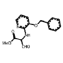 COC(=O)C(C=O)Nc1ncccc1OCc1ccccc1